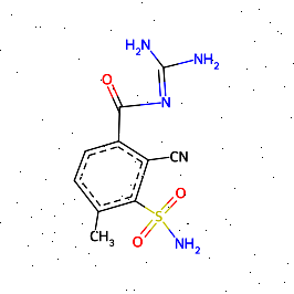 Cc1ccc(C(=O)N=C(N)N)c(C#N)c1S(N)(=O)=O